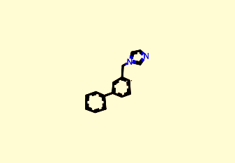 [c]1ccc(-c2ccccc2)cc1Cn1ccnc1